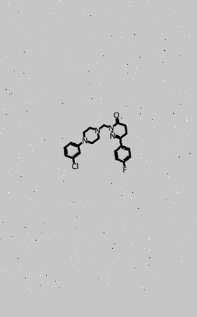 O=C1CCC(c2ccc(F)cc2)=NN1CN1CCN(c2cccc(Cl)c2)CC1